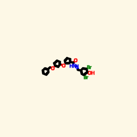 O=C(N/N=C/c1cc(Br)c(O)c(Br)c1)c1cccc(Oc2cccc(OCc3ccccc3)c2)c1